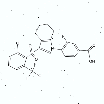 O=C(O)c1ccc(-n2cc(S(=O)(=O)c3c(Cl)cccc3C(F)(F)F)c3c2CCCC3)c(F)c1